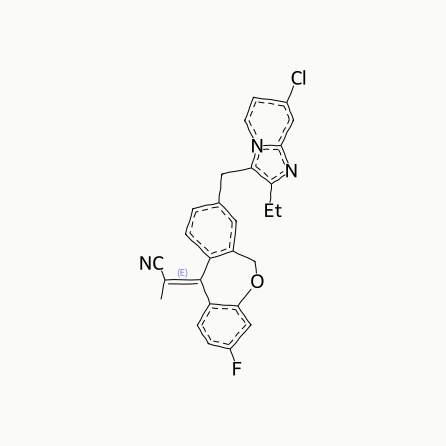 CCc1nc2cc(Cl)ccn2c1Cc1ccc2c(c1)COc1cc(F)ccc1/C2=C(\C)C#N